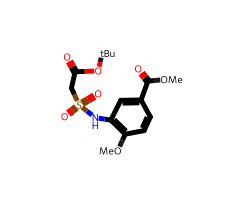 COC(=O)c1ccc(OC)c(NS(=O)(=O)CC(=O)OC(C)(C)C)c1